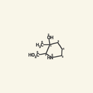 CC1(O)CCCNC1C(=O)O